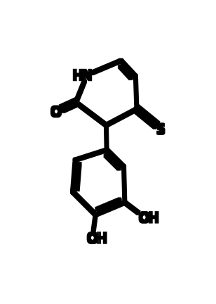 O=C1NC=CC(=S)C1c1ccc(O)c(O)c1